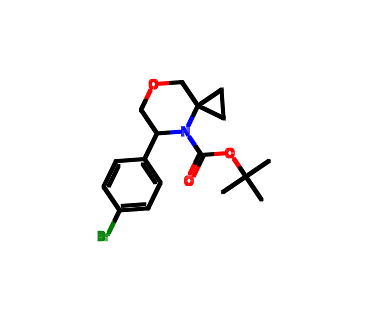 CC(C)(C)OC(=O)N1C(c2ccc(Br)cc2)COCC12CC2